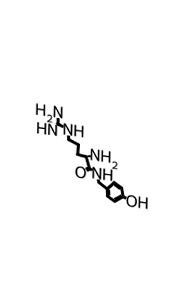 N=C(N)NCCC[C@@H](N)C(=O)NCc1ccc(O)cc1